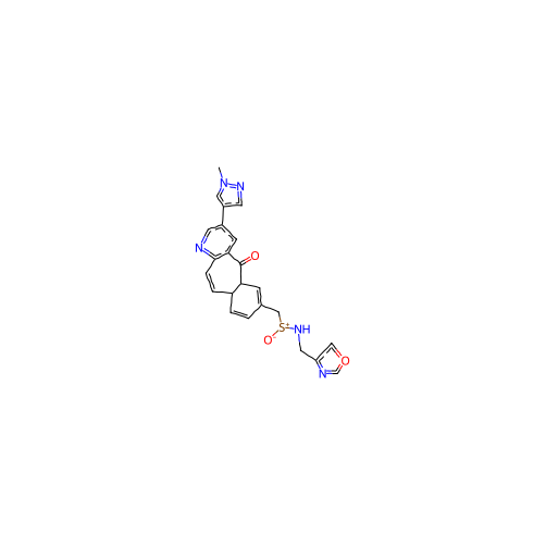 Cn1cc(-c2cnc3c(c2)C(=O)C2C=C(C[S+]([O-])NCc4cocn4)C=CC2C=C3)cn1